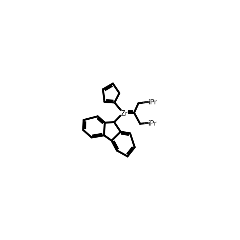 CC(C)C[C](CC(C)C)=[Zr]([C]1=CC=CC1)[CH]1c2ccccc2-c2ccccc21